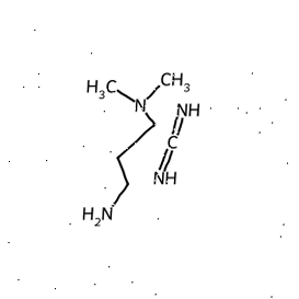 CN(C)CCCN.N=C=N